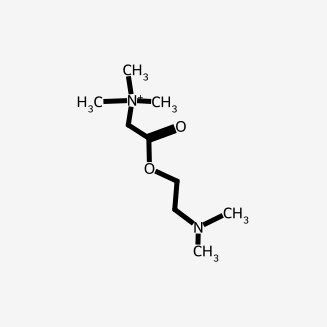 CN(C)CCOC(=O)C[N+](C)(C)C